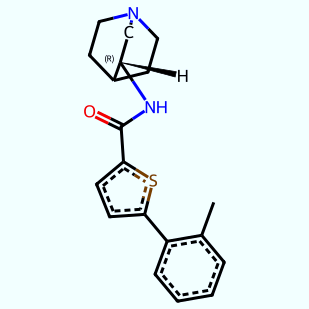 Cc1ccccc1-c1ccc(C(=O)N[C@H]2CN3CCC2CC3)s1